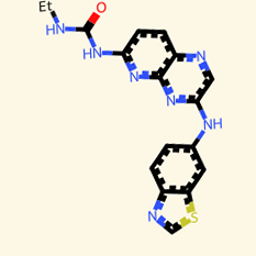 CCNC(=O)Nc1ccc2ncc(Nc3ccc4ncsc4c3)nc2n1